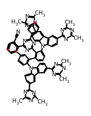 Cc1nc(C)nc(-c2ccc3c(c2)c2cc(-c4nc(C)nc(C)n4)ccc2n3-c2ccc(-c3cccc(C#N)c3)cc2-c2cccc(-n3c4ccc(-c5nc(C)nc(C)n5)cc4c4cc(-c5nc(C)nc(C)n5)ccc43)c2-c2nc(-c3ccccc3)nc(-c3ccccc3)n2)n1